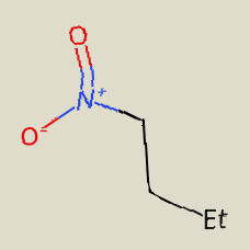 CCCC[N+](=O)[O-]